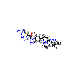 CN(N=O)c1nc(C2=CCC(NC(=O)/C(N)=C/SN)CC2)ccc1NCC(C)(C)C